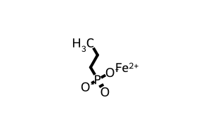 CCCP(=O)([O-])[O-].[Fe+2]